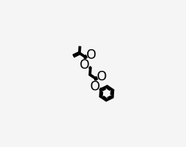 C=C(C)C(=O)OCCC(=O)Oc1ccccc1